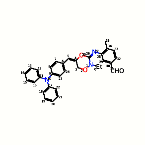 CCN1OC/C(=C\c2ccc(N(c3ccccc3)c3ccccc3)cc2)O/C1=N/c1cc(C=O)ccc1C